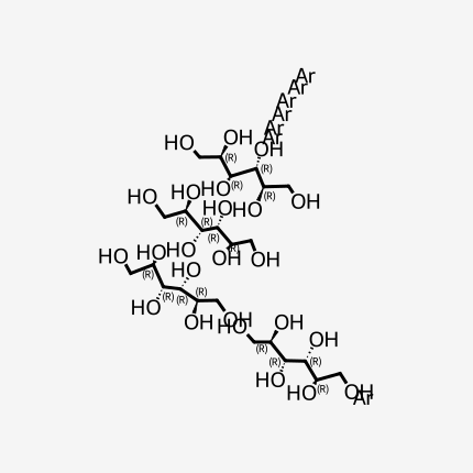 OC[C@@H](O)[C@@H](O)[C@H](O)[C@H](O)CO.OC[C@@H](O)[C@@H](O)[C@H](O)[C@H](O)CO.OC[C@@H](O)[C@@H](O)[C@H](O)[C@H](O)CO.OC[C@@H](O)[C@@H](O)[C@H](O)[C@H](O)CO.[Ar].[Ar].[Ar].[Ar].[Ar].[Ar].[Ar]